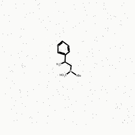 CCCCN(CC(C)c1ccccc1)C(=O)O